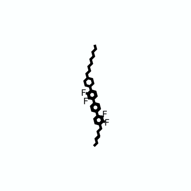 CC/C=C/CCc1ccc(-c2ccc(-c3ccc(C4CCC(CCCCCCCCC)CC4)c(F)c3F)cc2)c(F)c1F